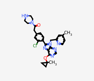 Cc1ccnc(Cn2c(-c3ccc(CC(=O)N4CCNCC4)cc3Cl)nc3c(OC4(C)CC4)ncnc32)c1